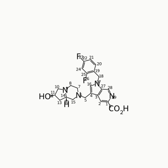 O=C(O)c1cc2c(CN3CCN4C[C@H](O)C[C@H]4C3)cn(Cc3ccc(F)cc3F)c2cn1